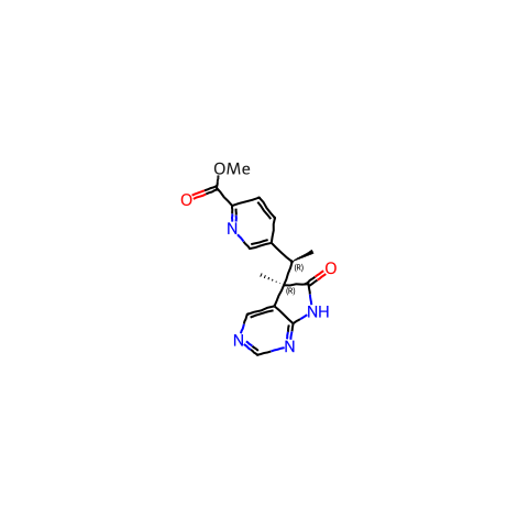 COC(=O)c1ccc([C@@H](C)[C@@]2(C)C(=O)Nc3ncncc32)cn1